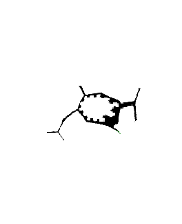 Cc1cc(C(C)C)c(F)cc1CC(C)C